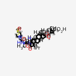 CC(C)C1=C2[C@H]3CC[C@H]4[C@]5(C)CC[C@H](OC(=O)[C@H]6C[C@@H](C(=O)O)C6(C)C)C(C)(C)[C@H]5CC[C@]4(C)[C@@]3(C)CC[C@]2(NC(=O)C(C)(C)NC(=O)CN2CCS(=S=O)CC2)CC1=O